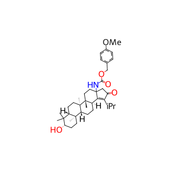 COc1ccc(COC(=O)NC23CC[C@]4(C)[C@H](CC[C@@H]5[C@@]6(C)CC[C@H](O)C(C)(C)[C@@H]6CC[C@]54C)C2=C(C(C)C)C(=O)C3)cc1